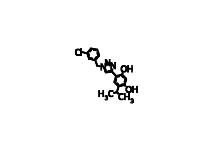 CC(C)c1cc(-c2cn(Cc3cccc(Cl)c3)nn2)c(O)cc1O